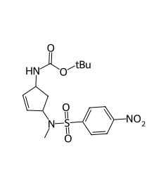 CN(C1C=CC(NC(=O)OC(C)(C)C)C1)S(=O)(=O)c1ccc([N+](=O)[O-])cc1